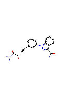 CN(C)C(=O)C(O)C#Cc1cccc(-n2nc(C(N)=O)c3ccccc32)c1